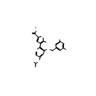 COC(=O)c1cc(-c2ncc(OC(C)C)cc2OCc2cc(F)cc(F)c2)c(C)s1